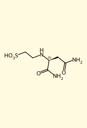 NC(=O)C[C@H](NCCS(=O)(=O)O)C(N)=O